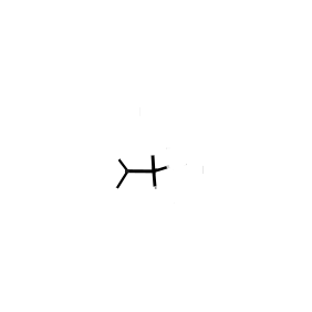 CCCCCC(O)(C(=O)O)C(O)C(=O)O.[Cl-].[Cl-].[Cl-].[Fe+3]